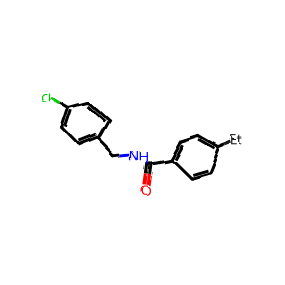 [CH2]Cc1ccc(C(=O)NCc2ccc(Cl)cc2)cc1